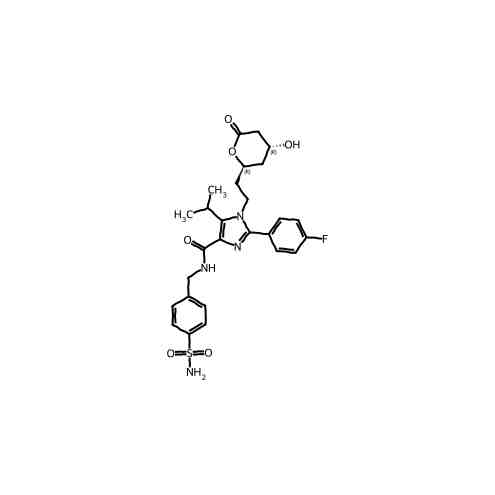 CC(C)c1c(C(=O)NCc2ccc(S(N)(=O)=O)cc2)nc(-c2ccc(F)cc2)n1CC[C@@H]1C[C@@H](O)CC(=O)O1